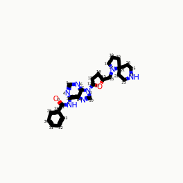 O=C(Nc1ncnc2c1ncn2C1CCC(CN2CCCC23CCNCC3)O1)c1ccccc1